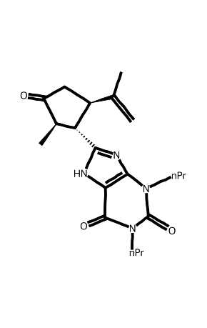 C=C(C)[C@@H]1CC(=O)[C@H](C)[C@H]1c1nc2c([nH]1)c(=O)n(CCC)c(=O)n2CCC